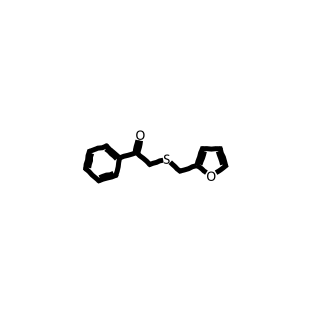 O=C(CSCc1ccco1)c1ccccc1